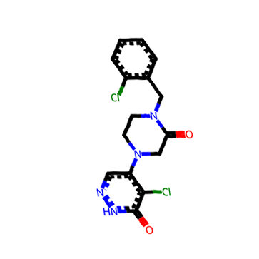 O=C1CN(c2cn[nH]c(=O)c2Cl)CCN1Cc1ccccc1Cl